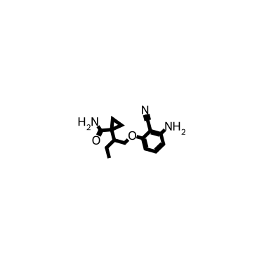 CCC(COc1cccc(N)c1C#N)C1(C(N)=O)CC1